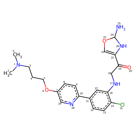 CN(C)CCCOc1ccc(-c2ccc(Cl)c(NCC(=O)C3=COC(N)N3)c2)nc1